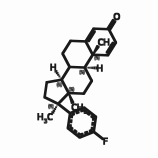 C[C@]12C=CC(=O)C=C1CCC1[C@@H]2CC[C@@]2(C)[C@H]1CC[C@]2(C)c1ccc(F)cc1